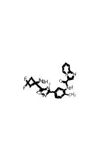 Cc1ccc(-c2noc(C3(N)CC(F)(F)C3)n2)cc1NC(=O)c1cnc2ccccn12